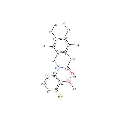 CCc1c(C)c2c(c(C)c1CC)CN(c1cccc(F)c1OC)C(=O)C2